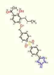 CCCc1c(OCc2ccc(S(=O)(=O)c3ccc(-c4nn[nH]n4)cc3)cc2)ccc(C(C)=O)c1O